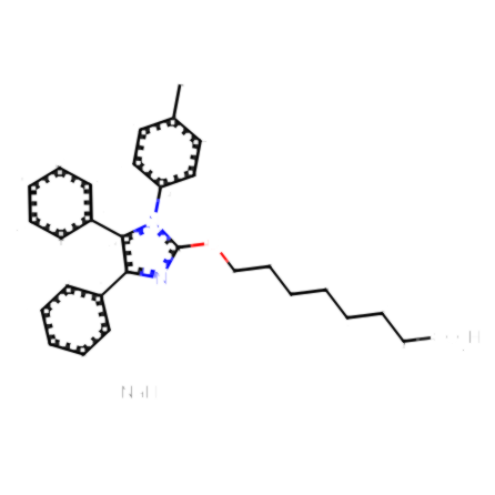 Cc1ccc(-n2c(OCCCCCCCC(=O)O)nc(-c3ccccc3)c2-c2ccccc2)cc1.[NaH]